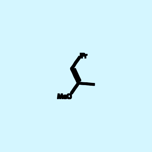 COC(C)=CC(C)C